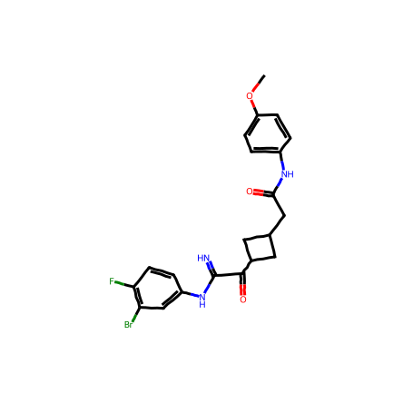 COc1ccc(NC(=O)CC2CC(C(=O)C(=N)Nc3ccc(F)c(Br)c3)C2)cc1